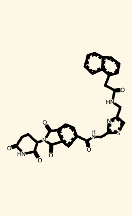 O=C(Cc1cccc2ccccc12)NCc1csc(CNC(=O)c2ccc3c(c2)C(=O)N(C2CCC(=O)NC2=O)C3=O)n1